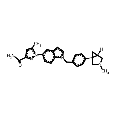 Cc1cc(C(N)=O)nn1-c1ccc2c(ccn2Cc2ccc([C@@]34C[C@@H]3CN(C)C4)cc2)c1